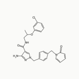 CC(CNC(=O)c1cn(Cc2ccc(Cn3ccccc3=O)cc2)nc1N)Oc1cccc(Cl)c1